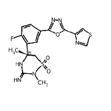 CN1C(=N)N[C@](C)(c2cc(-c3nnc(-c4cscn4)o3)ccc2F)CS1(=O)=O